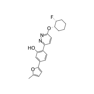 Cc1ccc(-c2ccc(-c3ccc(O[C@H]4CCCC[C@H]4F)nn3)c(O)c2)o1